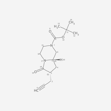 C#CC[C@H]1C[C@H]2CN(C(=O)OC(C)(C)C)CCN2C1=O